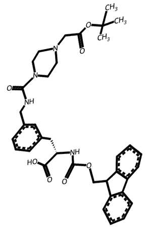 CC(C)(C)OC(=O)CN1CCN(C(=O)NCc2cccc(C[C@H](NC(=O)OCC3c4ccccc4-c4ccccc43)C(=O)O)c2)CC1